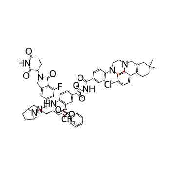 CC1(C)CCC(c2ccc(Cl)cc2)=C(CN2CCN(c3ccc(C(=O)NS(=O)(=O)c4ccc(N[C@H](CCN5C6CCC5CN(Cc5cc(F)c7c(c5)CN(C5CCC(=O)NC5=O)C7=O)C6)CSc5ccccc5)c(S(=O)(=O)C(F)(F)F)c4)cc3)CC2)C1